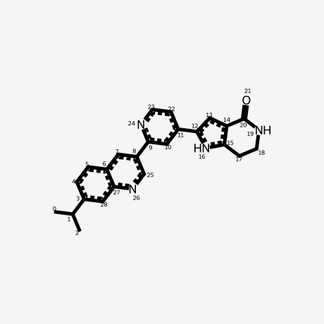 CC(C)c1ccc2cc(-c3cc(-c4cc5c([nH]4)CCNC5=O)ccn3)cnc2c1